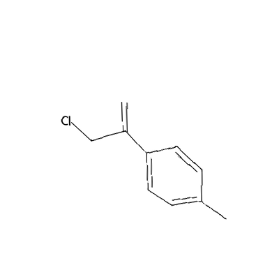 C=C(CCl)c1ccc(C)cc1